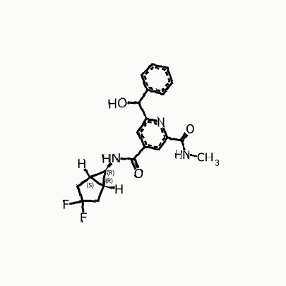 CNC(=O)c1cc(C(=O)N[C@H]2[C@@H]3CC(F)(F)C[C@@H]32)cc(C(O)c2ccccc2)n1